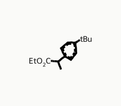 CCOC(=O)C(C)c1ccc(C(C)(C)C)cc1